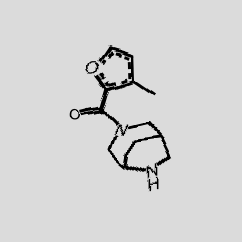 Cc1ccoc1C(=O)N1CC2CNC(C2)C1